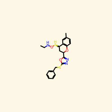 CCNO[SH]=C1CC(c2nnc(SCc3ccccc3)o2)Oc2ccc(C)cc21